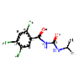 CCC(CC)NC(=O)NC(=O)c1cc(F)c(F)cc1F